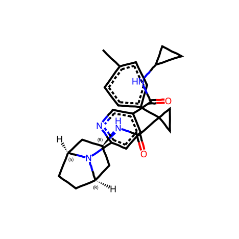 Cc1ccc(C2(C(=O)N[C@H]3C[C@H]4CC[C@@H](C3)N4c3ccc(C(=O)NC4CC4)cn3)CC2)cc1